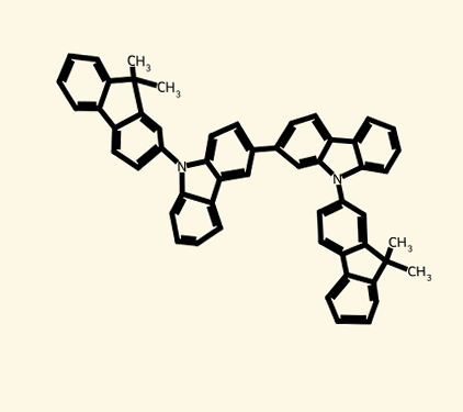 CC1(C)c2ccccc2-c2ccc(-n3c4ccccc4c4cc(-c5ccc6c7ccccc7n(-c7ccc8c(c7)C(C)(C)c7ccccc7-8)c6c5)ccc43)cc21